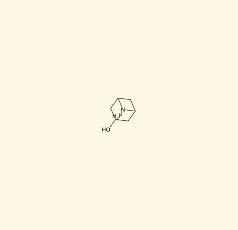 OC1CC2CC(C1)N2P